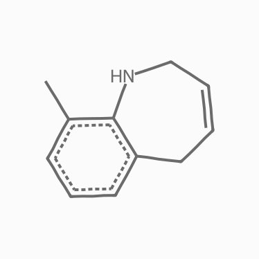 Cc1cccc2c1NCC=CC2